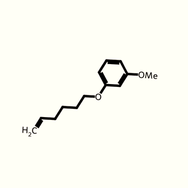 C=CCCCCOc1cccc(OC)c1